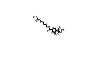 CC(=O)OCCCCCOC(=O)c1ccc(C(C)(C)OO)cc1